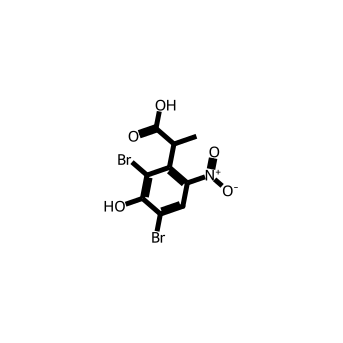 CC(C(=O)O)c1c([N+](=O)[O-])cc(Br)c(O)c1Br